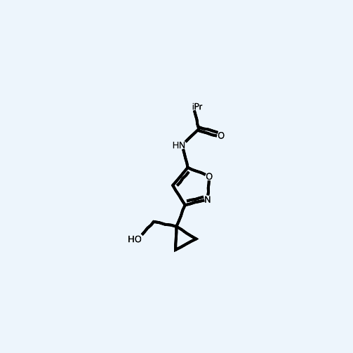 CC(C)C(=O)Nc1cc(C2(CO)CC2)no1